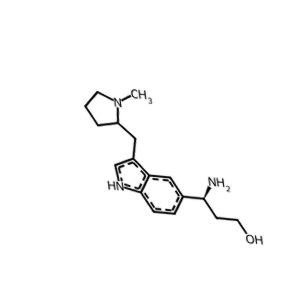 CN1CCCC1Cc1c[nH]c2ccc([C@@H](N)CCO)cc12